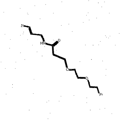 CC/C=C/CNC(=O)CCOCCOCCC(C)C